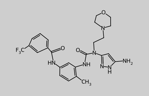 Cc1ccc(NC(=O)c2cccc(C(F)(F)F)c2)cc1NC(=O)N(CCN1CCOCC1)c1cc(N)[nH]n1